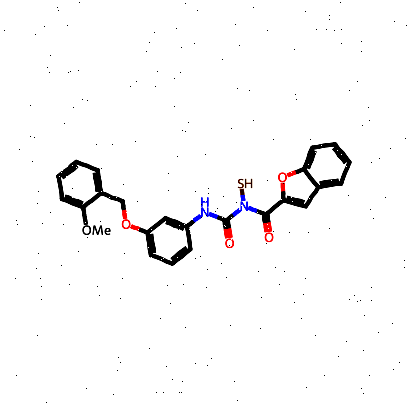 COc1ccccc1COc1cccc(NC(=O)N(S)C(=O)c2cc3ccccc3o2)c1